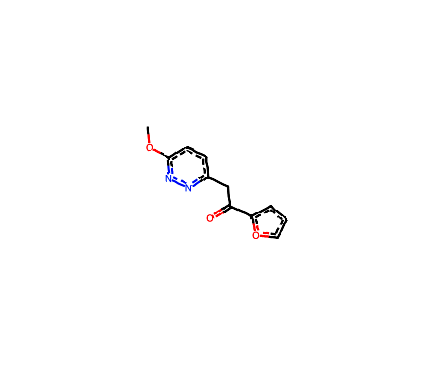 COc1ccc(CC(=O)c2ccco2)nn1